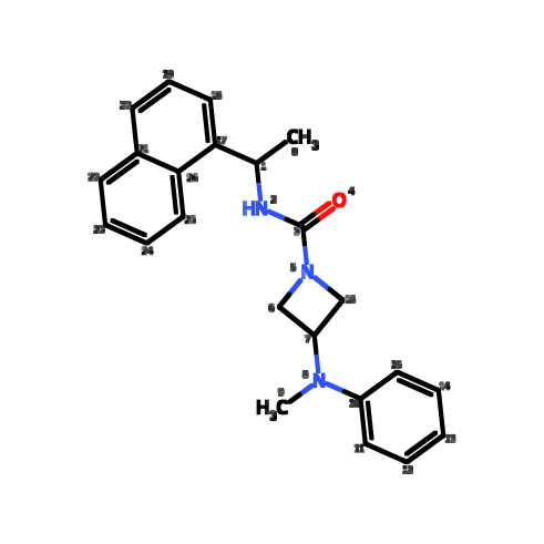 CC(NC(=O)N1CC(N(C)c2ccccc2)C1)c1cccc2ccccc12